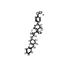 C[C@@H]1CN(c2ccc(OC(F)(F)F)nn2)C[C@@H](C)N1C(=O)NCCC1CCN(Cc2ccccc2)CC1